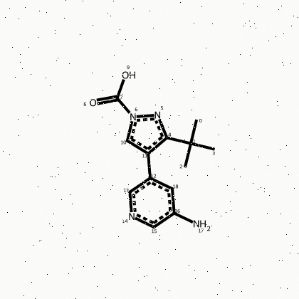 CC(C)(C)c1nn(C(=O)O)cc1-c1cncc(N)c1